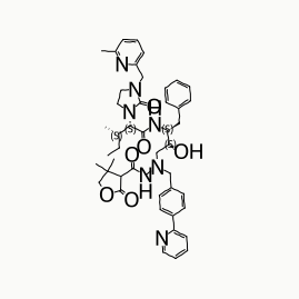 CC[C@H](C)[C@@H](C(=O)N[C@@H](Cc1ccccc1)[C@@H](O)CN(Cc1ccc(-c2ccccn2)cc1)NC(=O)C1C(=O)OCC1(C)C)N1CCN(Cc2cccc(C)n2)C1=O